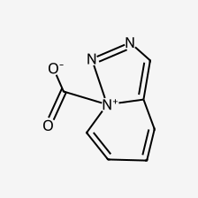 O=C([O-])[N+]12C=CC=CC1=CN=N2